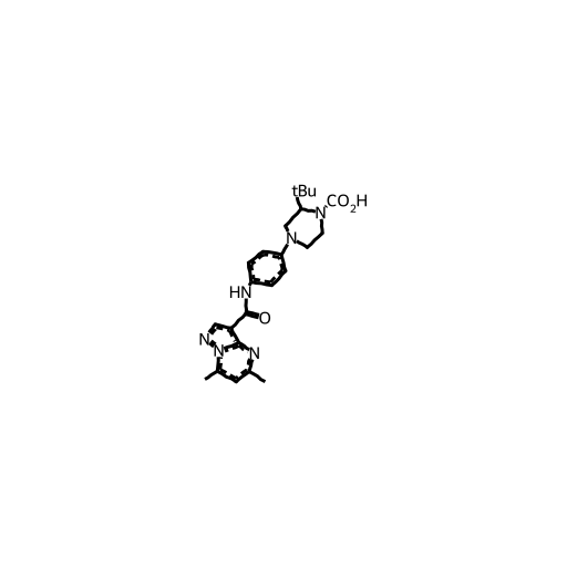 Cc1cc(C)n2ncc(C(=O)Nc3ccc(N4CCN(C(=O)O)C(C(C)(C)C)C4)cc3)c2n1